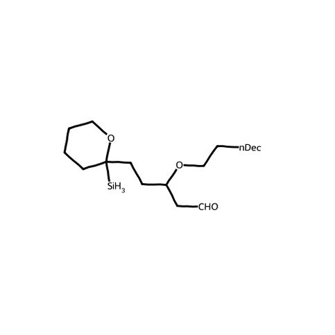 CCCCCCCCCCCCOC(CC=O)CCC1([SiH3])CCCCO1